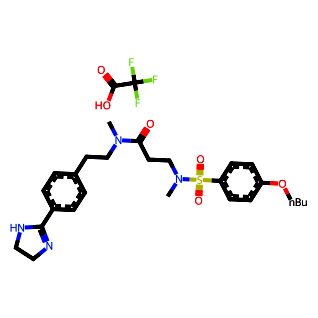 CCCCOc1ccc(S(=O)(=O)N(C)CCC(=O)N(C)CCc2ccc(C3=NCCN3)cc2)cc1.O=C(O)C(F)(F)F